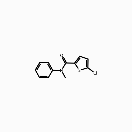 CN(C(=O)c1ccc(Cl)s1)c1ccccc1